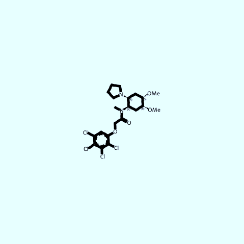 CO[C@H]1C[C@@H](N2CCCC2)[C@H](N(C)C(=O)COc2cc(Cl)c(Cl)c(Cl)c2Cl)C[C@H]1OC